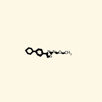 CCOC=Nc1nc(-c2ccc(C3CCCCC3)cc2)cs1